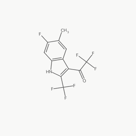 Cc1cc2c(C(=O)C(F)(F)F)c(C(F)(F)F)[nH]c2cc1F